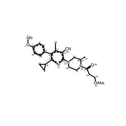 CCCOc1ccc(-c2c(C3CC3)nc(N3CCN(C(=O)CCOC)[C@H](C)C3)c(C#N)c2C)cc1